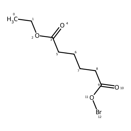 CCOC(=O)CCCCC(=O)OBr